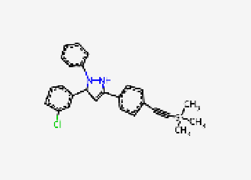 C[Si](C)(C)C#Cc1ccc(C2=CC(c3cccc(Cl)c3)N(c3ccccc3)N2)cc1